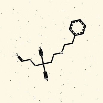 N#CC(C#N)(CCC=O)CCOCCc1ccccc1